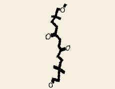 COCC(C)(C)CCC(=O)CCC(=O)CCC(C)(C)CC=O